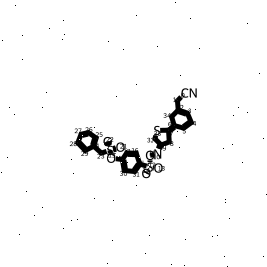 N#CCC1=CC=CC(=C2CC(=NOS(=O)(=O)c3ccc(OS(=O)(=O)Cc4ccccc4)cc3)CS2)C1